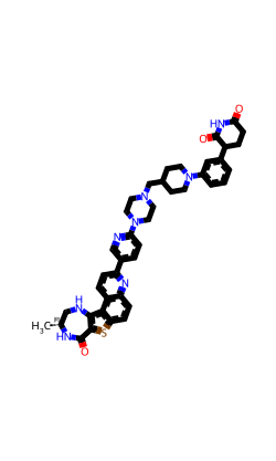 C[C@@H]1CNc2c(sc3ccc4nc(-c5ccc(N6CCN(CC7CCN(c8cccc(C9CCC(=O)NC9=O)c8)CC7)CC6)nc5)ccc4c23)C(=O)N1